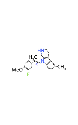 COc1ccc(/C(C)=C/n2c3c(c4cc(C)ccc42)CCNC3)cc1F